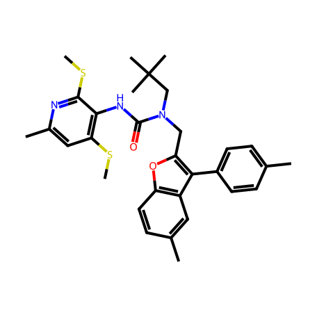 CSc1cc(C)nc(SC)c1NC(=O)N(Cc1oc2ccc(C)cc2c1-c1ccc(C)cc1)CC(C)(C)C